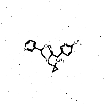 CC1(CN(CC(O)c2cccnc2)C(=O)Cc2ccc(C(F)(F)F)nc2)CC1